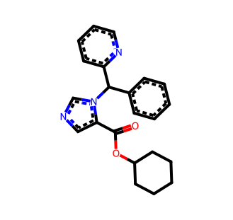 O=C(OC1CCCCC1)c1cncn1C(c1ccccc1)c1ccccn1